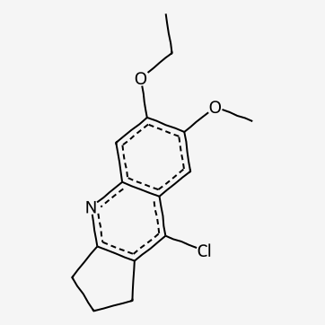 CCOc1cc2nc3c(c(Cl)c2cc1OC)CCC3